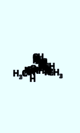 Cc1cc(NC(=O)NCCc2cn3c(-c4cnn(C)c4)cnc3c(Nc3cc(C)ns3)n2)sn1